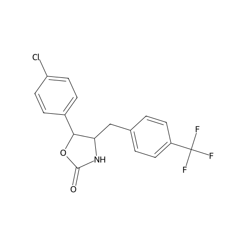 O=C1NC(Cc2ccc(C(F)(F)F)cc2)C(c2ccc(Cl)cc2)O1